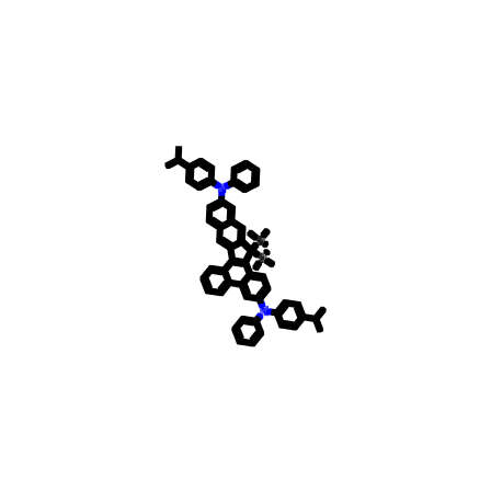 CC(C)c1ccc(N(c2ccccc2)c2ccc3cc4c(cc3c2)C([Si](C)(C)C)([Si](C)(C)C)c2c-4c3ccccc3c3cc(N(c4ccccc4)c4ccc(C(C)C)cc4)ccc23)cc1